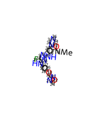 CNC(=O)c1cc(Nc2ncc(F)c(Nc3ccc(OCc4noc(C)n4)cc3)n2)ccc1N1CCN(C)CC1